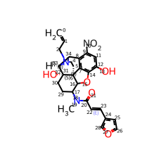 C=CCN1CC[C@]23c4c5c([N+](=O)[O-])cc(O)c4OC2C(N(C)C(=O)/C=C/c2ccoc2)CC[C@@]3(O)[C@H]1C5